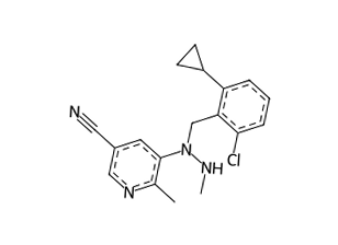 CNN(Cc1c(Cl)cccc1C1CC1)c1cc(C#N)cnc1C